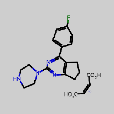 Fc1ccc(-c2nc(N3CCNCC3)nc3c2CCC3)cc1.O=C(O)/C=C\C(=O)O